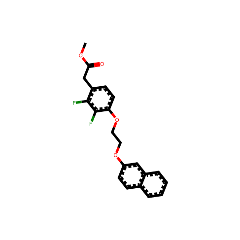 COC(=O)Cc1ccc(OCCOc2ccc3ccccc3c2)c(F)c1F